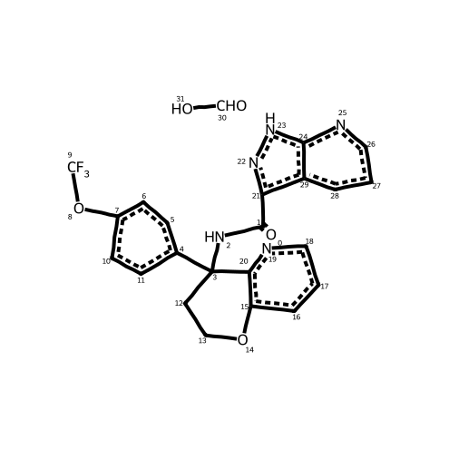 O=C(NC1(c2ccc(OC(F)(F)F)cc2)CCOc2cccnc21)c1n[nH]c2ncccc12.O=CO